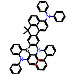 CC1(C)c2cc3c(cc2-c2ccc(N(c4ccccc4)c4ccccc4)c4cccc1c24)N(c1ccccc1-c1ccccc1)c1cccc2c1B3c1ccccc1N2c1ccccc1